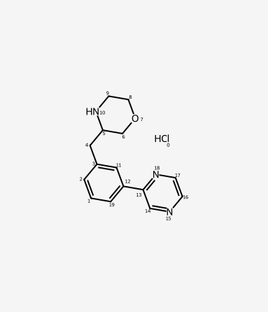 Cl.c1cc(CC2COCCN2)cc(-c2cnccn2)c1